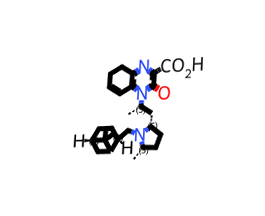 C[C@H]1CC[C@@H](C[C@H](C)n2c3c(nc(C(=O)O)c2=O)CCC=C3)N1C[C@@H]1CC[C@H]2CC1C2(C)C